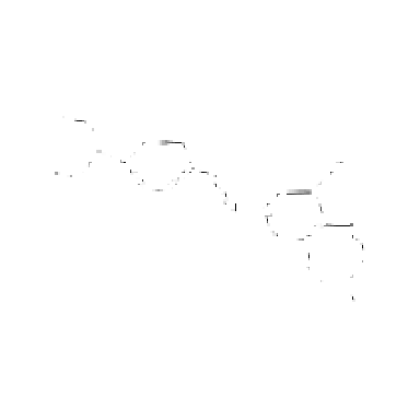 CCN(CC)c1ccc(/C=N/c2cc(Cl)c(/N=C\N(C)C)c(Cl)c2)cc1